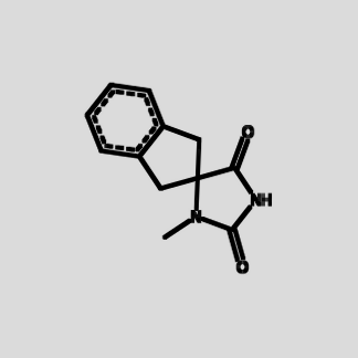 CN1C(=O)NC(=O)C12Cc1ccccc1C2